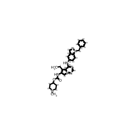 CCc1c(NC(=O)OC2CCN(C)CC2)cn2ncnc(Nc3ccc4c(cnn4Cc4ccccc4)c3)c12